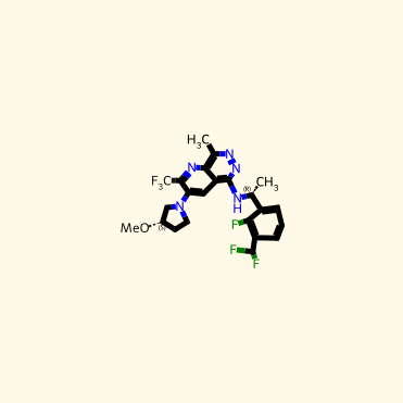 CO[C@H]1CCN(c2cc3c(N[C@H](C)c4cccc(C(F)F)c4F)nnc(C)c3nc2C(F)(F)F)C1